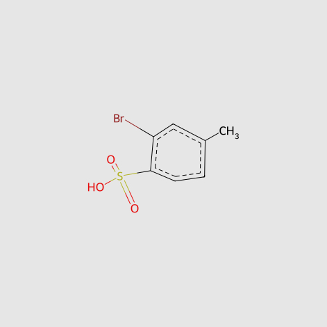 Cc1ccc(S(=O)(=O)O)c(Br)c1